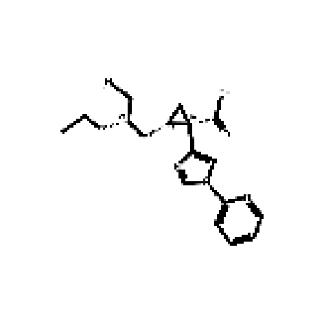 CCC[C@H](CN)C[C@@H]1C[C@@]1(C(=O)O)c1cn(-c2ccccn2)cn1